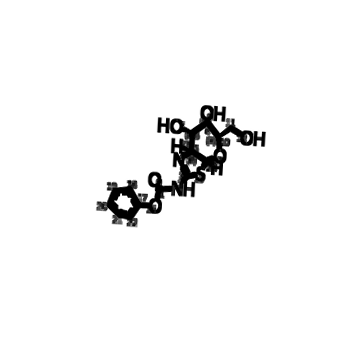 O=C(NC1=N[C@@H]2[C@@H](O)[C@H](O)[C@@H](CO)O[C@@H]2S1)Oc1ccccc1